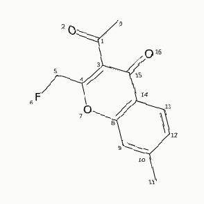 CC(=O)c1c(CF)oc2cc(C)ccc2c1=O